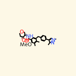 COc1c(C(=O)N[C@H]2COCC[C@@H]2O)cc(Cc2ccc(-c3cn(C)nc3C)cc2)c(C)c1C